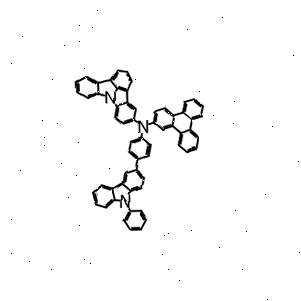 c1ccc(-n2c3ccccc3c3cc(-c4ccc(N(c5ccc6c7ccccc7c7ccccc7c6c5)c5ccc6c(c5)c5cccc7c8ccccc8n6c75)cc4)ccc32)cc1